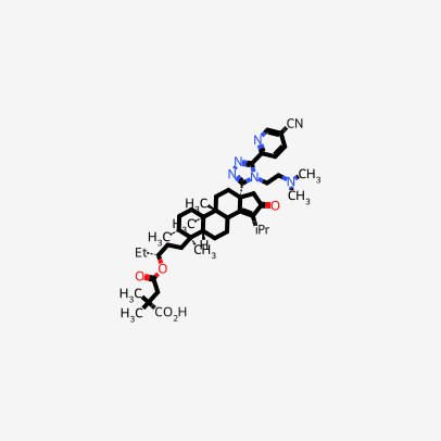 CC[C@H](CC[C@@]1(C)[C@H](C)CC[C@]2(C)[C@@H]1CCC1C3=C(C(C)C)C(=O)C[C@]3(c3nnc(-c4ccc(C#N)cn4)n3CCN(C)C)CC[C@]12C)OC(=O)CC(C)(C)C(=O)O